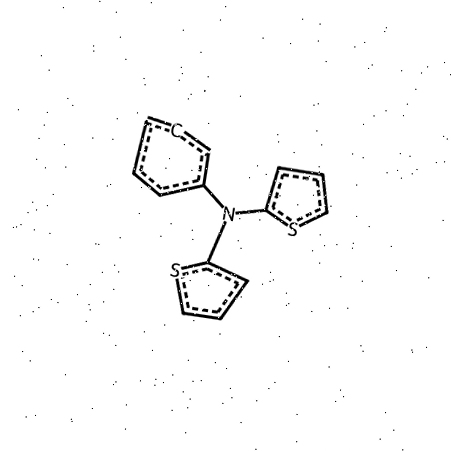 c1ccc(N(c2cccs2)c2cccs2)cc1